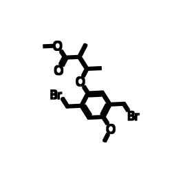 COC(=O)C(C)C(C)Oc1cc(CBr)c(OC)cc1CBr